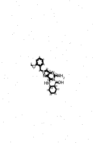 COc1ccccc1Cn1cc2nc(N)nc(N[C@@H]3CCCC[C@@H]3CO)c2n1